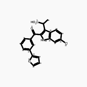 CC(C(=O)O)c1c(C(=O)c2cccc(-c3ccco3)c2)[nH]c2cc(Cl)ccc12